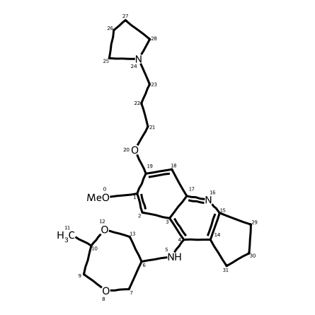 COc1cc2c(NC3COCC(C)OC3)c3c(nc2cc1OCCCN1CCCC1)CCC3